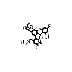 CCS(=O)(=O)Cc1ccc(C(=O)c2c(Cl)cc(F)cc2Cl)c(-c2cn(C)c(=O)cc2CN)c1